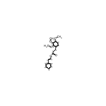 COc1ccc(CCC(=O)OC=Cc2ccccc2)c(OC)c1OC